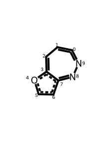 C1=CC=c2occc2=NN=1